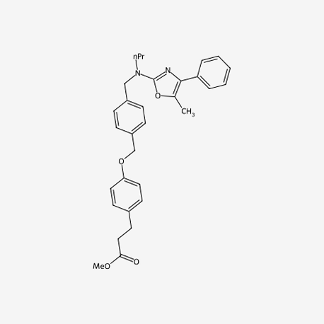 CCCN(Cc1ccc(COc2ccc(CCC(=O)OC)cc2)cc1)c1nc(-c2ccccc2)c(C)o1